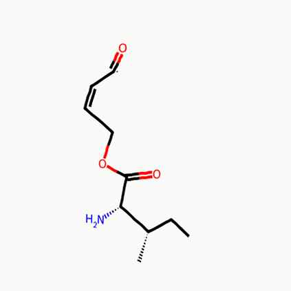 CC[C@H](C)[C@H](N)C(=O)OC/C=C\[C]=O